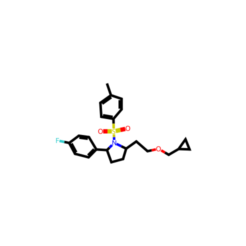 Cc1ccc(S(=O)(=O)N2C(CCOCC3CC3)CCC2c2ccc(F)cc2)cc1